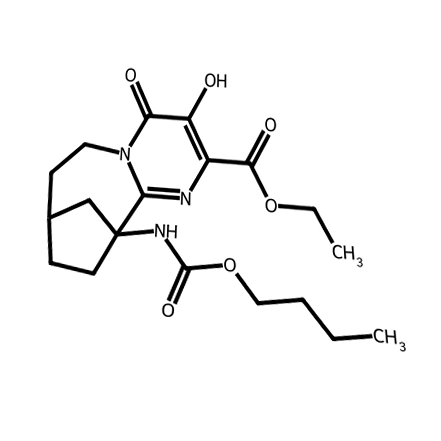 CCCCOC(=O)NC12CCC(CCn3c1nc(C(=O)OCC)c(O)c3=O)C2